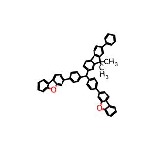 CC1(C)c2cc(-c3ccccc3)ccc2-c2ccc(C(c3ccc(-c4ccc5c(c4)oc4ccccc45)cc3)c3ccc(-c4ccc5c(c4)oc4ccccc45)cc3)cc21